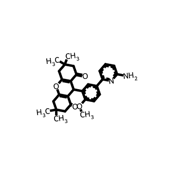 COc1ccc(-c2cccc(N)n2)cc1C1C2=C(CC(C)(C)CC2=O)OC2=C1C(=O)CC(C)(C)C2